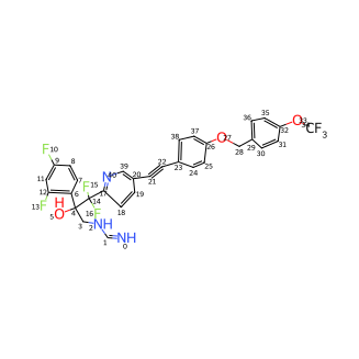 N=CNCC(O)(c1ccc(F)cc1F)C(F)(F)c1ccc(C#Cc2ccc(OCc3ccc(OC(F)(F)F)cc3)cc2)cn1